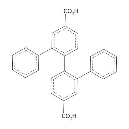 O=C(O)c1ccc(-c2ccc(C(=O)O)cc2-c2ccccc2)c(-c2ccccc2)c1